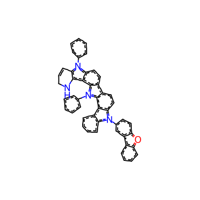 C1=Cc2c(c3c(ccc4c5ccc6c(c7ccccc7n6-c6ccc7oc8ccccc8c7c6)c5n(-c5ccccc5)c43)n2-c2ccccc2)NC1